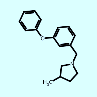 CC1CCN(Cc2cccc(Oc3ccccc3)c2)C1